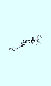 Cc1cc(C(=O)Nc2cc(Oc3ccc4nc(NC(=O)CCCN5CCC6(CC5)COC6)cn4n3)ccc2C)n(C)n1